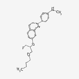 CCCCOCC(CF)Oc1ccc2ccc(-c3ccc(NC)cc3)nc2c1